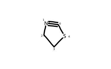 C1#[N+][CH]CS1